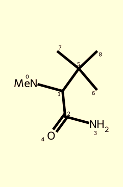 CNC(C(N)=O)C(C)(C)C